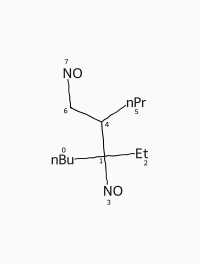 CCCCC(CC)(N=O)C(CCC)CN=O